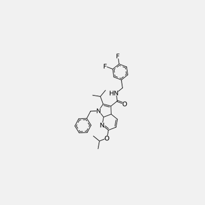 CC(C)OC1=NC2C(C=C1)C(C(=O)NCc1ccc(F)c(F)c1)=C(C(C)C)N2Cc1ccccc1